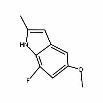 COc1cc(F)c2[nH]c(C)cc2c1